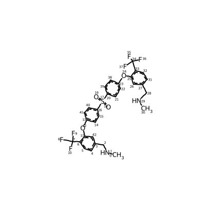 CNCc1ccc(C(F)(F)F)c(Oc2ccc(S(=O)(=O)c3ccc(Oc4cc(CNC)ccc4C(F)(F)F)cc3)cc2)c1